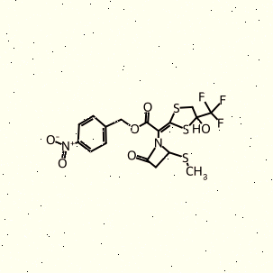 CSC1CC(=O)N1C(C(=O)OCc1ccc([N+](=O)[O-])cc1)=C1SCC(O)(C(F)(F)F)S1